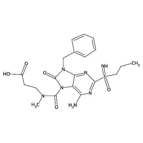 CCCS(=N)(=O)c1nc(N)c2c(n1)n(Cc1ccccc1)c(=O)n2C(=O)N(C)CCC(=O)O